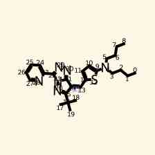 CCCCN(CCCC)c1ccc(/C=c2/c(C(C)(C)C)nn3c(-c4ccccn4)nnc23)s1